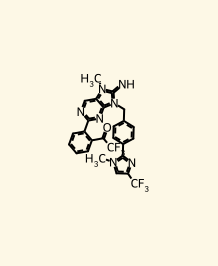 Cn1cc(C(F)(F)F)nc1-c1ccc(Cn2c(=N)n(C)c3cnc(-c4ccccc4C(=O)C(F)(F)F)nc32)cc1